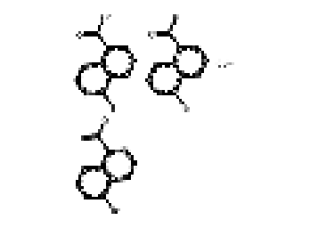 O=C([O-])c1cccc2c(Br)cccc12.O=C([O-])c1cccc2c(Br)cccc12.O=C([O-])c1cccc2c(Br)cccc12.[Ga+3]